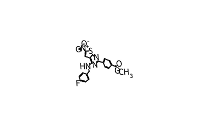 COC(=O)c1ccc(-c2nc(NCc3ccc(F)cc3)c3cc([N+](=O)[O-])sc3n2)cc1